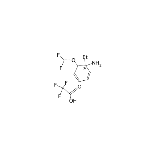 CC[C@]1(N)C=CC=CC1OC(F)F.O=C(O)C(F)(F)F